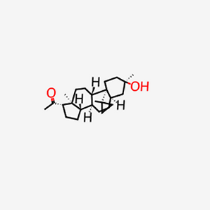 CC(=O)[C@H]1CC[C@H]2[C@@H]3CC[C@@H]4C[C@](C)(O)CC[C@]4(C4(C)CC4)[C@H]3CC[C@]12C